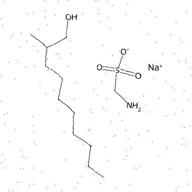 CCCCCCCCC(C)CO.NCS(=O)(=O)[O-].[Na+]